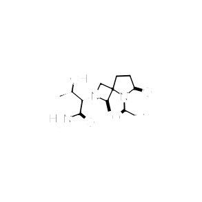 C=C1N([C@H](C(N)=O)[C@@H](C)O)CC12CCC(=O)N2C(=O)C(C)C